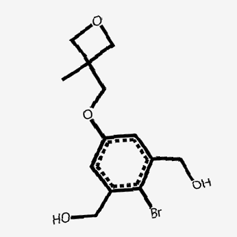 CC1(COc2cc(CO)c(Br)c(CO)c2)COC1